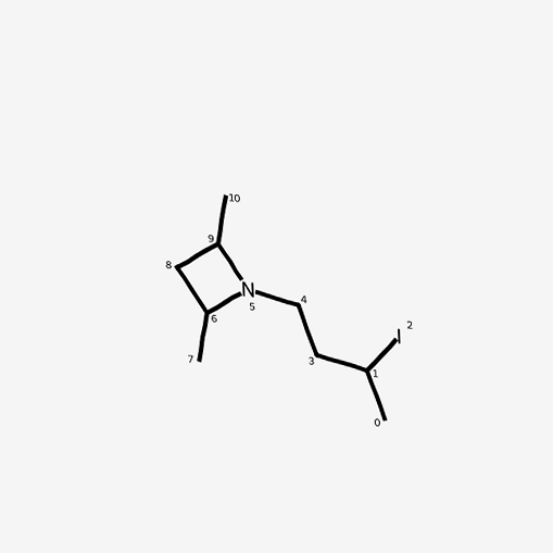 CC(I)CCN1C(C)CC1C